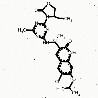 CCC1COC(=O)N1c1nc(C)nc(N[C@H](C)c2cc3cc(Cl)c(OC(C)C)cc3[nH]c2=O)n1